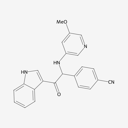 COc1cncc(NC(C(=O)c2c[nH]c3ccccc23)c2ccc(C#N)cc2)c1